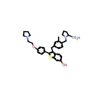 Cc1cc(Cc2c(-c3ccc(OCCN4CCCC4)cc3)sc3cc(O)ccc23)ccc1CN1CCCC1C(=O)O